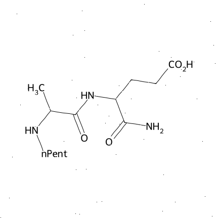 CCCCCNC(C)C(=O)NC(CCC(=O)O)C(N)=O